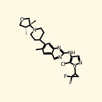 Cc1cc2cnc(Nc3cnn(C4CC4(F)F)c3Cl)nc2cc1C1CCN([C@@]2(C)COC[C@H]2C)CC1